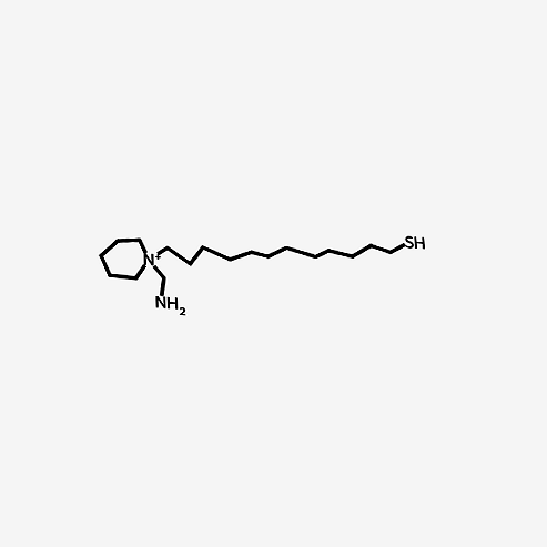 NC[N+]1(CCCCCCCCCCCCS)CCCCC1